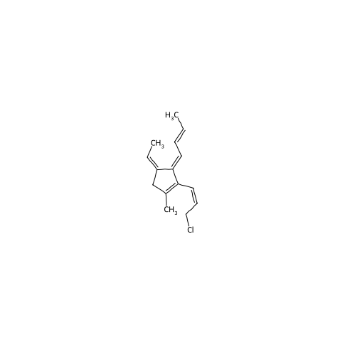 C/C=C1/CC(C)=C(/C=C\CCl)/C1=C/C=C/C